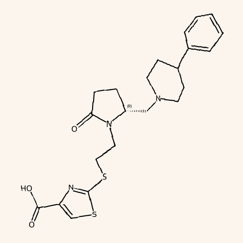 O=C(O)c1csc(SCCN2C(=O)CC[C@@H]2CN2CCC(c3ccccc3)CC2)n1